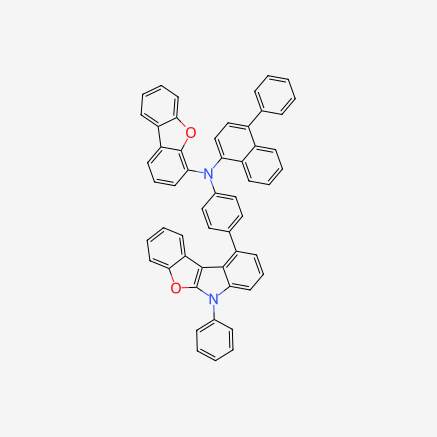 c1ccc(-c2ccc(N(c3ccc(-c4cccc5c4c4c6ccccc6oc4n5-c4ccccc4)cc3)c3cccc4c3oc3ccccc34)c3ccccc23)cc1